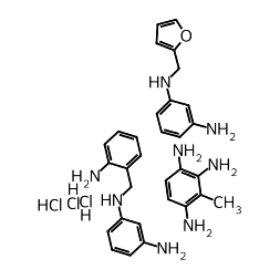 Cc1c(N)ccc(N)c1N.Cl.Cl.Cl.Nc1cccc(NCc2ccccc2N)c1.Nc1cccc(NCc2ccco2)c1